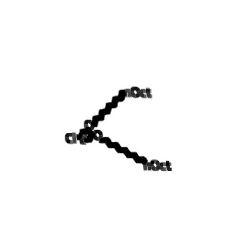 CCCCCCCCC=CCCCCCCCCO[C@@H]1C[N+](C)(C)C[C@H]1OCCCCCCCCC=CCCCCCCCC.[Cl-]